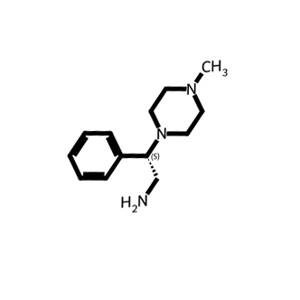 CN1CCN([C@H](CN)c2ccccc2)CC1